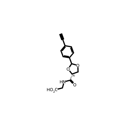 C#Cc1ccc(C2OC[C@H](C(=O)NCC(=O)O)O2)cc1